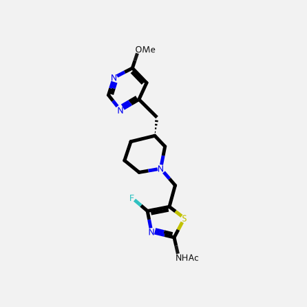 COc1cc(C[C@H]2CCCN(Cc3sc(NC(C)=O)nc3F)C2)ncn1